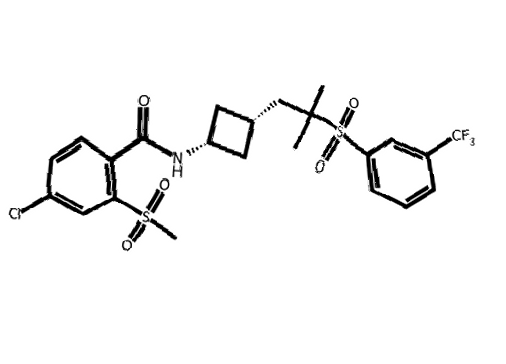 CC(C)(C[C@H]1C[C@@H](NC(=O)c2ccc(Cl)cc2S(C)(=O)=O)C1)S(=O)(=O)c1cccc(C(F)(F)F)c1